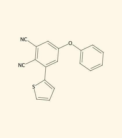 N#Cc1cc(Oc2ccccc2)cc(-c2cccs2)c1C#N